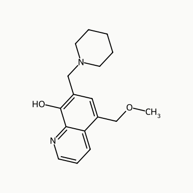 COCc1cc(CN2CCCCC2)c(O)c2ncccc12